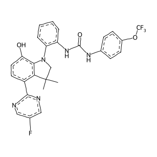 CC1(C)CN(c2ccccc2NC(=O)Nc2ccc(OC(F)(F)F)cc2)c2c(O)ccc(-c3ncc(F)cn3)c21